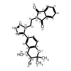 CC1(C)Oc2ccc(-c3nnnn3CCN3C(=O)c4ccccc4C3=O)cc2[C@@H](O)[C@@H]1Br